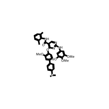 COc1cc(-c2ccc(N(C)C)cc2)ccc1Oc1nc(Nc2cc(OC)c(OC)c(OC)c2)ncc1C(=O)Nc1c(C)cccc1C